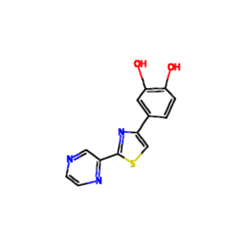 Oc1ccc(-c2csc(-c3cnccn3)n2)cc1O